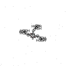 OCC1OC(SCCOCCOc2ccc(-c3c4nc(c(-c5ccc(OCCOCCSC6OC(CO)C(O)C(O)C6O)cc5)c5ccc([nH]5)c(-c5ccc(OCCOCCSC6OC(CO)C(O)C(O)C6O)cc5)c5nc(c(-c6ccccc6)c6ccc3[nH]6)C=C5)C=C4)cc2)C(O)C(O)C1O